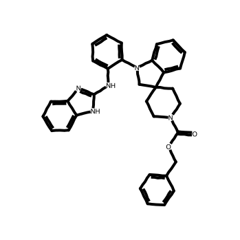 O=C(OCc1ccccc1)N1CCC2(CC1)CN(c1ccccc1Nc1nc3ccccc3[nH]1)c1ccccc12